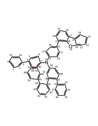 c1ccc(-c2ccc(N(c3ccc(-c4cccc5c4oc4ccccc45)cc3)c3ccc(-c4ccccc4)c(-c4ccccc4-c4ccccc4)c3)cc2)cc1